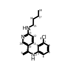 C=C(Nc1cccc(Cl)c1)c1ccc(NCCCC)nc1